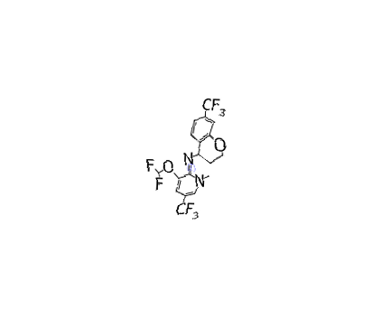 Cn1cc(C(F)(F)F)cc(OC(F)F)/c1=N/C1CCOc2cc(C(F)(F)F)ccc21